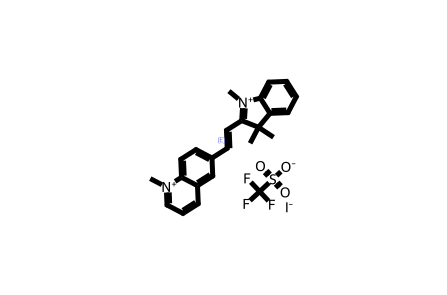 C[N+]1=C(/C=C/c2ccc3c(ccc[n+]3C)c2)C(C)(C)c2ccccc21.O=S(=O)([O-])C(F)(F)F.[I-]